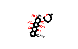 COc1cccc2c1C(=O)c1c(O)c3c(c(O)c1C2=O)CC(O)(C(C)=O)CC3OC1CCCC(C)COC1